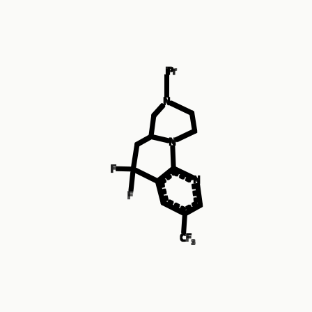 CC(C)N1CCN2c3ncc(C(F)(F)F)cc3C(F)(F)CC2C1